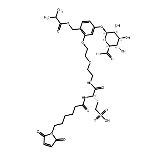 CC(C)C(=O)OCc1ccc(O[C@@H]2O[C@H](C(=O)O)[C@@H](O)[C@H](O)[C@H]2O)cc1OCCOCCNC(=O)[C@H](CCS(=O)(=O)O)NC(=O)CCCCCN1C(=O)C=CC1=O